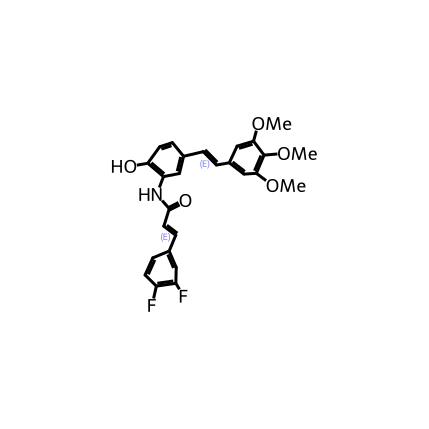 COc1cc(/C=C/c2ccc(O)c(NC(=O)/C=C/c3ccc(F)c(F)c3)c2)cc(OC)c1OC